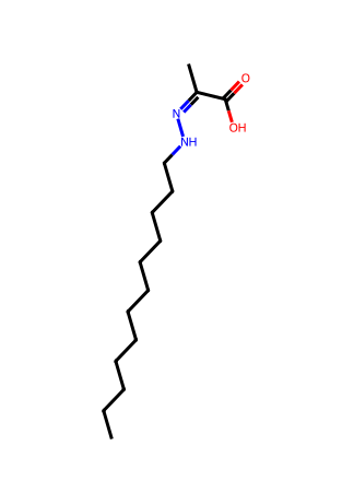 CCCCCCCCCCCCN/N=C(/C)C(=O)O